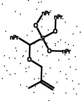 C=C(C)COC(CCC)[Si](OCCC)(OCCC)OCCC